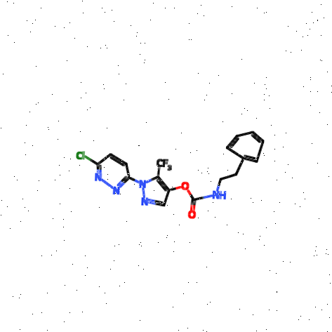 O=C(NCCc1ccccc1)Oc1cnn(-c2ccc(Cl)nn2)c1C(F)(F)F